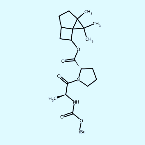 C[C@H](NC(=O)OC(C)(C)C)C(=O)N1CCC[C@H]1C(=O)OC1CC2CCC3(C)C(C)(C)C213